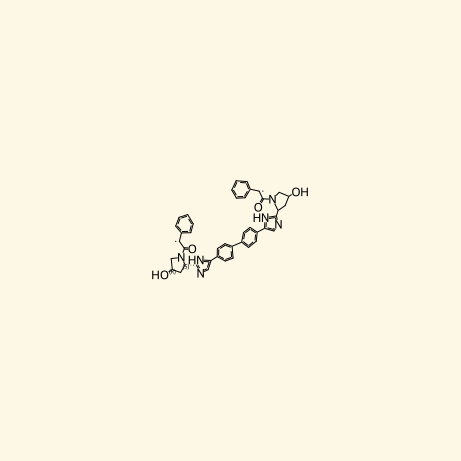 O=C([CH]c1ccccc1)N1CC(O)CC1c1ncc(-c2ccc(-c3ccc(-c4cnc([C@@H]5C[C@@H](O)CN5C(=O)[CH]c5ccccc5)[nH]4)cc3)cc2)[nH]1